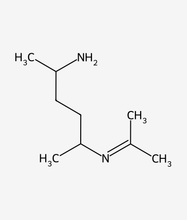 CC(C)=NC(C)CCC(C)N